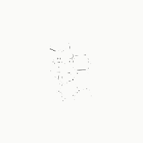 COc1cccc(C)c1-c1cccc2c1[P@](=O)(C(C)(C)C)[C@@H](C)O2